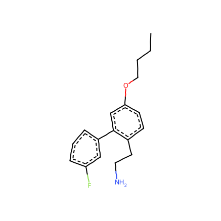 CCCCOc1ccc(CCN)c(-c2cccc(F)c2)c1